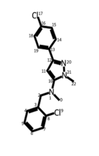 CN(Cc1ccccc1Cl)c1cc(-c2ccc(Cl)cc2)nn1C